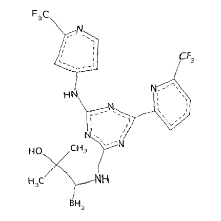 BC(Nc1nc(Nc2ccnc(C(F)(F)F)c2)nc(-c2cccc(C(F)(F)F)n2)n1)C(C)(C)O